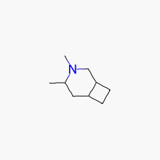 CC1CC2CCC2CN1C